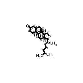 CC(C)CCC[C@@H](C)[C@H]1CC[C@H]2[C@H]3CCC4CC(=O)CC[C@]4(C)[C@H]3CC[C@]12C